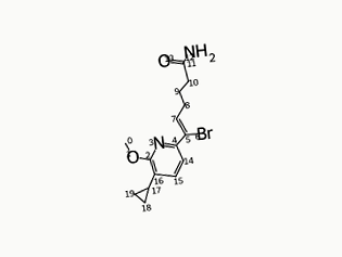 COc1nc(/C(Br)=C/CCCC(N)=O)ccc1C1CC1